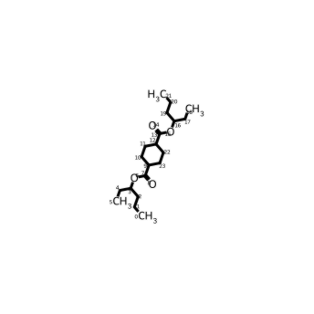 CCCC(CC)OC(=O)C1CCC(C(=O)OC(CC)CCC)CC1